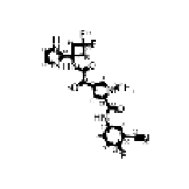 Cn1cc(C(=O)C(=O)NC2(c3ncc[nH]3)CC(F)(F)C2)cc1C(=O)Nc1ccc(F)c(C#N)c1